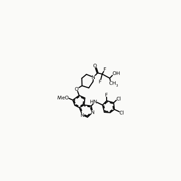 COc1cc2ncnc(Nc3ccc(Cl)c(Cl)c3F)c2cc1OC1CCN(C(=O)C(F)(F)C(C)O)CC1